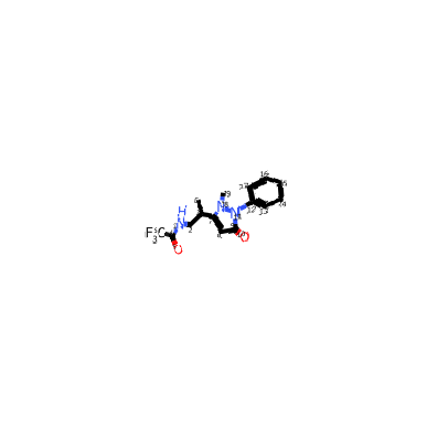 CC(CNC(=O)C(F)(F)F)c1cc(=O)n(-c2ccccc2)n1C